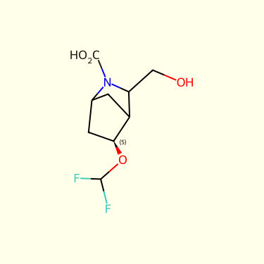 O=C(O)N1C2CC(C1CO)[C@@H](OC(F)F)C2